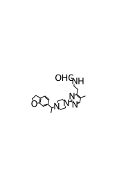 Cc1cnc(N2CCN(C(C)c3ccc4c(c3)OCC4)CC2)nc1CCNC=O